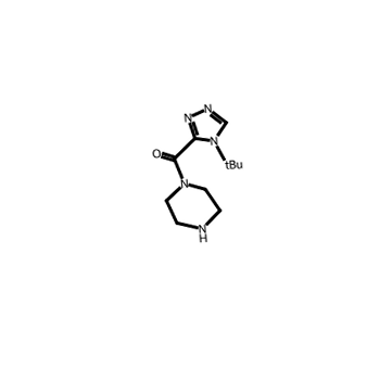 CC(C)(C)n1cnnc1C(=O)N1CCNCC1